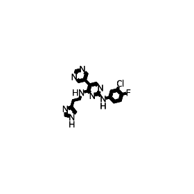 Fc1ccc(Nc2ncc(-c3cncnc3)c(NCCc3c[nH]cn3)n2)cc1Cl